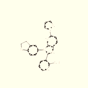 Nc1ncccc1-c1nc2ccc(-n3cccn3)nc2n1-c1ccc2c(c1)CCN2